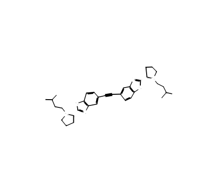 CC(C)CCN1CCC[C@H]1c1nc2cc(C#Cc3ccc4[nH]c([C@@H]5CCCN5CCC(C)C)nc4c3)ccc2[nH]1